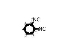 [C-]#[N+]c1[c]cc[c]c1[N+]#[C-]